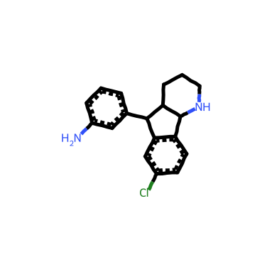 Nc1cccc(C2c3cc(Cl)ccc3C3NCCCC32)c1